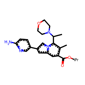 Cc1c(C(=O)OC(C)C)cc2cc(-c3ccc(N)nc3)cn2c1C(C)N1CCOCC1